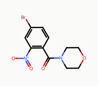 O=C(c1ccc(Br)cc1[N+](=O)[O-])N1CCOCC1